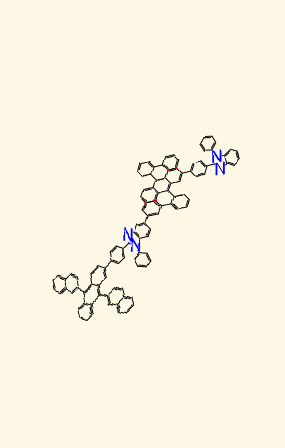 c1ccc(-c2ccccc2-c2c3ccccc3c(-c3ccccc3-c3cccc(-c4ccc5c(c4)nc(-c4ccc(-c6ccc7c(-c8ccc9ccccc9c8)c8ccccc8c(-c8ccc9ccccc9c8)c7c6)cc4)n5-c4ccccc4)c3)c3cc(-c4ccc(-c5nc6ccccc6n5-c5ccccc5)cc4)ccc23)cc1